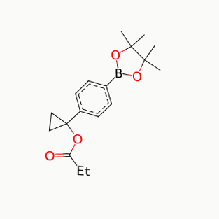 CCC(=O)OC1(c2ccc(B3OC(C)(C)C(C)(C)O3)cc2)CC1